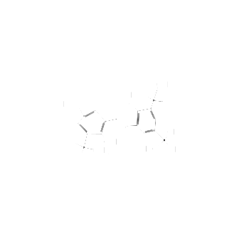 Cc1cc(CSc2cc(C(C)(C)C)cc(C(C)(C)C)c2O)c(O)c(C(C)(C)C)c1